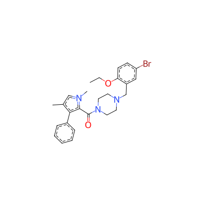 CCOc1ccc(Br)cc1CN1CCN(C(=O)c2c(-c3ccccc3)c(C)cn2C)CC1